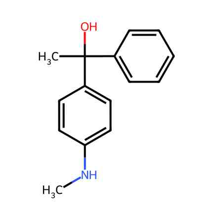 CNc1ccc(C(C)(O)c2ccccc2)cc1